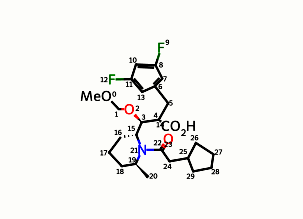 COCO[C@@H]([C@H](Cc1cc(F)cc(F)c1)C(=O)O)[C@H]1CCC[C@H](C)N1C(=O)CC1CCCC1